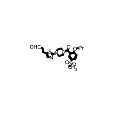 CC(C)Oc1ccc(S(C)(=O)=O)cc1C(=O)N1CCN(c2ncc(CCC=O)s2)CC1